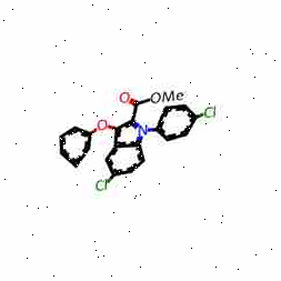 COC(=O)c1c(Oc2ccccc2)c2cc(Cl)ccc2n1-c1ccc(Cl)cc1